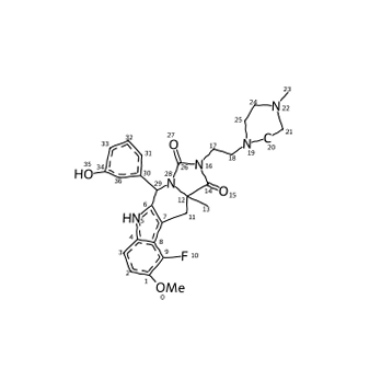 COc1ccc2[nH]c3c(c2c1F)CC1(C)C(=O)N(CCN2CCN(C)CC2)C(=O)N1C3c1cccc(O)c1